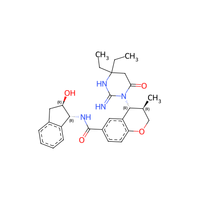 CCC1(CC)CC(=O)N([C@H]2c3cc(C(=O)N[C@@H]4c5ccccc5C[C@H]4O)ccc3OC[C@@H]2C)C(=N)N1